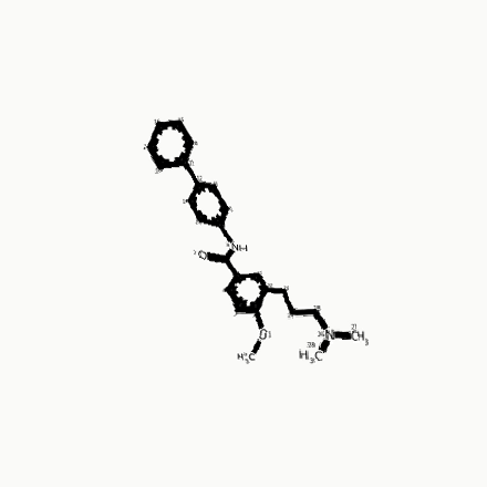 COc1ccc(C(=O)Nc2ccc(-c3ccccc3)cc2)cc1CCCN(C)C